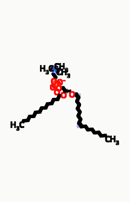 CCCCCCCC/C=C\CCCCCC/C=C\OC[C@H](COP(=O)([O-])OCC[N+](C)(C)C)OC(=O)CCCCCCCCCCCCC